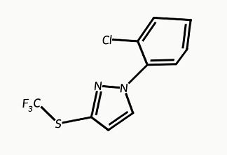 FC(F)(F)Sc1ccn(-c2ccccc2Cl)n1